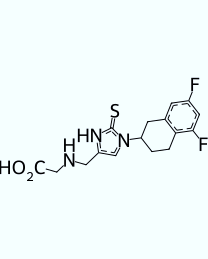 O=C(O)CNCc1cn(C2CCc3c(F)cc(F)cc3C2)c(=S)[nH]1